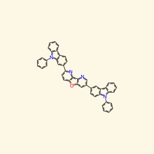 c1ccc(-n2c3ccccc3c3cc(-c4cnc5c(c4)oc4ccc(-c6ccc7c8ccccc8n(-c8ccccc8)c7c6)nc45)ccc32)cc1